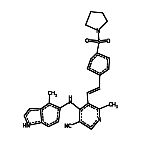 Cc1ncc(C#N)c(Nc2ccc3[nH]ccc3c2C)c1C=Cc1ccc(S(=O)(=O)N2CCCC2)cc1